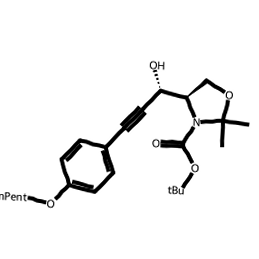 CCCCCOc1ccc(C#C[C@H](O)[C@H]2COC(C)(C)N2C(=O)OC(C)(C)C)cc1